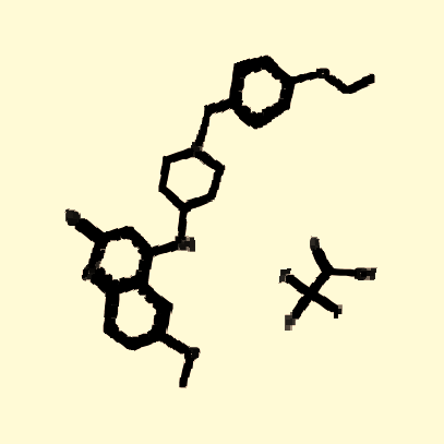 CCOc1ccc(CN2CCC(Nc3cc(=O)oc4ccc(OC)cc34)CC2)cc1.O=C(O)C(F)(F)F